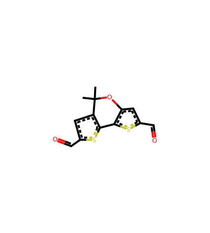 CC1(C)Oc2cc(C=O)sc2-c2sc(C=O)cc21